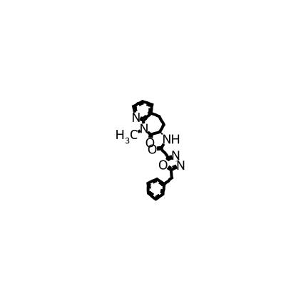 CN1C(=O)[C@@H](NC(=O)c2nnc(Cc3ccccc3)o2)CCc2cccnc21